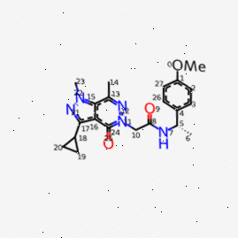 COc1ccc([C@H](C)NC(=O)Cn2nc(C)c3c(c(C4CC4)nn3C)c2=O)cc1